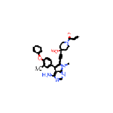 C=CC(=O)N1CCC(O)(C#Cc2c(-c3ccc(Oc4ccccc4)c(C#N)c3)c3c(N)ncnc3n2C)CC1